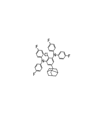 Fc1ccc(N(c2ccc(F)cc2)c2cc(C34CC5CC(CC(C5)C3)C4)cc(N(c3ccc(F)cc3)c3ccc(F)cc3)c2Cl)cc1